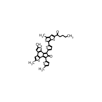 CCCCC(=O)c1cc2c(C)sc(-c3ccc(C4=c5c(c6sc(C)cc6c6cc(C)sc56)=C(c5ccc(C)s5)C4=O)s3)c2s1